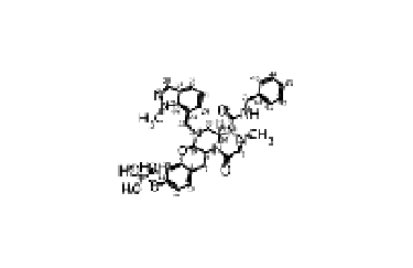 CN1CC(=O)N2[C@@H](Cc3ccc(O[PH](O)(O)O)cc3)C(=O)N(Cc3cccc4cnn(C)c34)C[C@@H]2N1C(=O)NCc1ccccc1